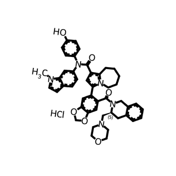 Cl.Cn1ccc2ccc(N(C(=O)c3cc(-c4cc5c(cc4C(=O)N4Cc6ccccc6C[C@H]4CN4CCOCC4)OCO5)n4c3CCCCC4)c3ccc(O)cc3)cc21